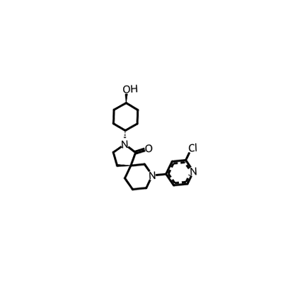 O=C1N([C@H]2CC[C@H](O)CC2)CC[C@@]12CCCN(c1ccnc(Cl)c1)C2